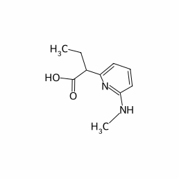 CCC(C(=O)O)c1cccc(NC)n1